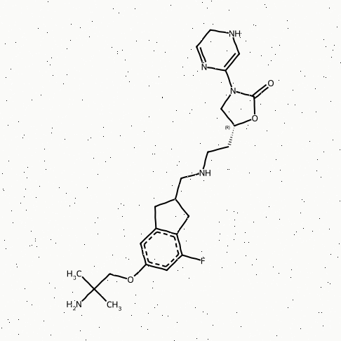 CC(C)(N)COc1cc(F)c2c(c1)CC(CNCC[C@@H]1CN(C3=CNCC=N3)C(=O)O1)C2